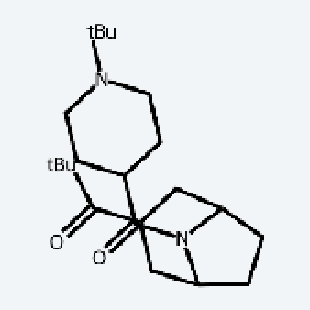 CC(C)(C)C(=O)C1CC2CCC(C1)N2C(=O)C1CCN(C(C)(C)C)CC1